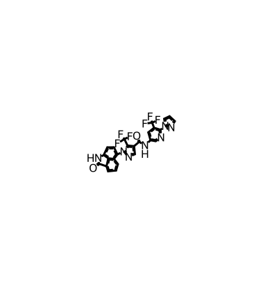 O=C(Nc1cnc(-n2cccn2)c(C(F)(F)F)c1)c1cnn(-c2ccc3c4c(cccc24)C(=O)N3)c1C(F)(F)F